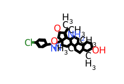 CC(C)C1=C2C(c3nnc(-c4ccc(Cl)cc4)o3)(CCC3C2(N)CCC2C4(C)CCC(O)C(C)C4CCC32C)CC1=O